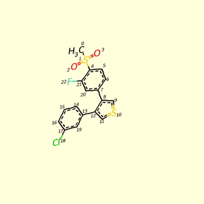 CS(=O)(=O)c1ccc(-c2cscc2-c2cccc(Cl)c2)cc1F